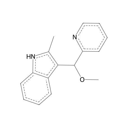 COC(c1ccccn1)c1c(C)[nH]c2ccccc12